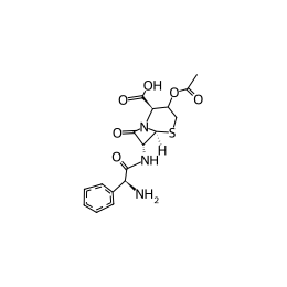 CC(=O)OC1CS[C@H]2[C@H](NC(=O)[C@@H](N)c3ccccc3)C(=O)N2[C@H]1C(=O)O